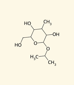 CC(C)OC1OC(CO)C(O)C(C)C1O